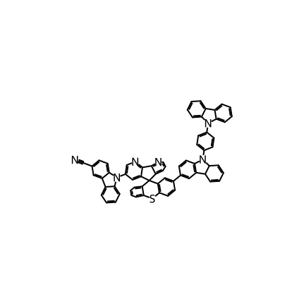 N#Cc1ccc2c(c1)c1ccccc1n2-c1cnc2c(c1)C1(c3ccccc3Sc3ccc(-c4ccc5c(c4)C4C=CC=CC4N5c4ccc(-n5c6ccccc6c6ccccc65)cc4)cc31)c1cccnc1-2